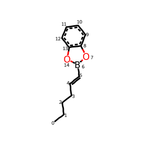 CCCCC=CB1Oc2ccccc2O1